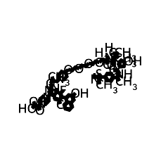 Cc1ncsc1-c1ccc(C(C)NC(=O)[C@@H]2C[C@@H](O)CN2C(=O)C(NC(=O)COCCOCCOCCOC2CCN(CC(C)Oc3nc(N4CCN(C(=O)C(O)O)CC4)c4cc(Cl)c(-c5cc(O)cc6ccccc56)c(F)c4n3)CC2)C(C)(C)C)cc1